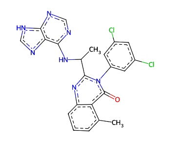 Cc1cccc2nc(C(C)Nc3ncnc4[nH]cnc34)n(-c3cc(Cl)cc(Cl)c3)c(=O)c12